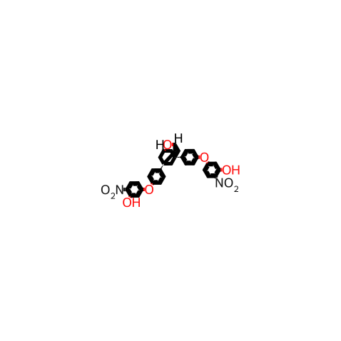 O=[N+]([O-])c1ccc(Oc2ccc([C@]34C[C@@H]5C[C@@](c6ccc(Oc7ccc([N+](=O)[O-])c(O)c7)cc6)(C[C@H](C3)O5)C4)cc2)cc1O